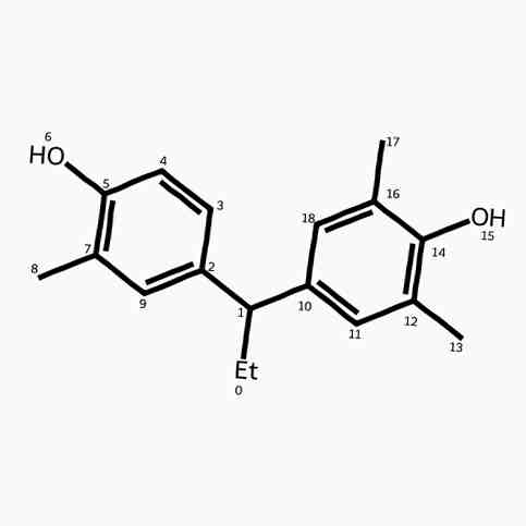 CCC(c1ccc(O)c(C)c1)c1cc(C)c(O)c(C)c1